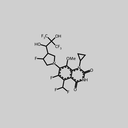 COc1c(N2CC(F)C(C(O)C(O)(C(F)(F)F)C(F)(F)F)C2)c(F)c(C(F)F)c2c(=O)[nH]c(=O)n(C3CC3)c12